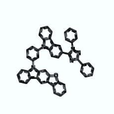 c1ccc(-c2nc(-c3ccc4c(c3)c3ccccc3n4-c3cccc(-n4c5ccccc5c5cc6c(cc54)oc4ccccc46)c3)n(-c3ccccc3)n2)cc1